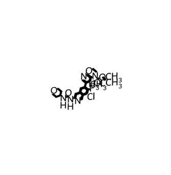 Cc1c(-c2cc3cc(NC(=O)NC4CCOCC4)ncc3c(Cl)c2F)cnc2c1N(C(=O)OC(C)(C)C)CCO2